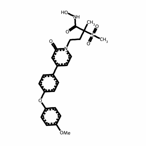 COc1ccc(Oc2ccc(-c3ccn(CCC(C)(C(=O)NO)S(C)(=O)=O)c(=O)c3)cc2)cc1